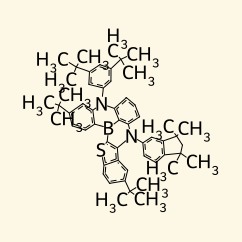 CC(C)(C)c1cc(N2c3cc(C(C)(C)C)ccc3B3c4sc5ccc(C(C)(C)C)cc5c4N(c4ccc5c(c4)C(C)(C)CC5(C)C)c4cccc2c43)cc(C(C)(C)C)c1